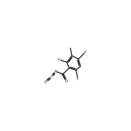 Cc1c(F)cc(F)c(C(=O)N=C=O)c1F